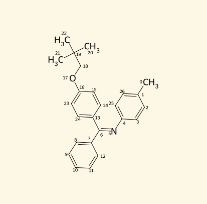 Cc1ccc(N=C(c2ccccc2)c2ccc(OCC(C)(C)C)cc2)cc1